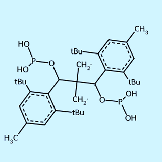 [CH2]C([CH2])([C](OP(O)O)c1c(C(C)(C)C)cc(C)cc1C(C)(C)C)C(OP(O)O)c1c(C(C)(C)C)cc(C)cc1C(C)(C)C